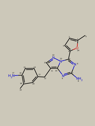 Cc1ccc(-c2nc(N)nc3c(Cc4ccc(N)c(C)c4)cnn23)o1